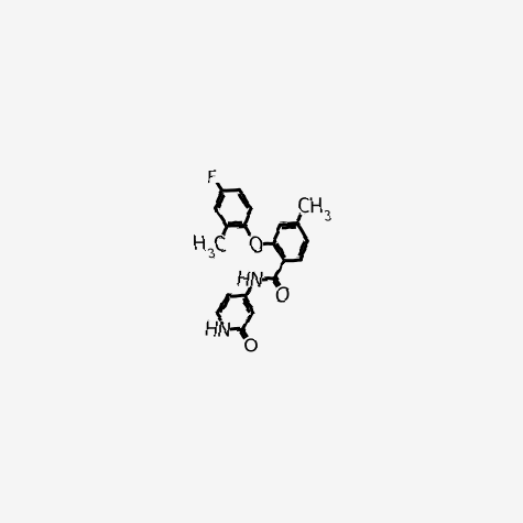 Cc1ccc(C(=O)Nc2cc[nH]c(=O)c2)c(Oc2ccc(F)cc2C)c1